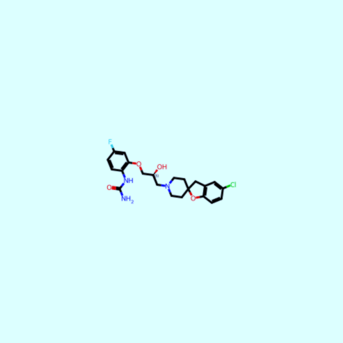 NC(=O)Nc1ccc(F)cc1OC[C@@H](O)CN1CCC2(CC1)Cc1cc(Cl)ccc1O2